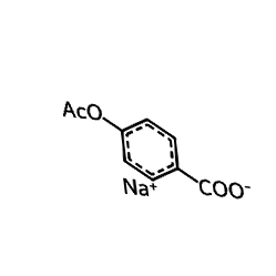 CC(=O)Oc1ccc(C(=O)[O-])cc1.[Na+]